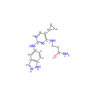 NC(=O)CCNc1nc(Nc2ccc3[nH]ncc3c2)ncc1C1CC1